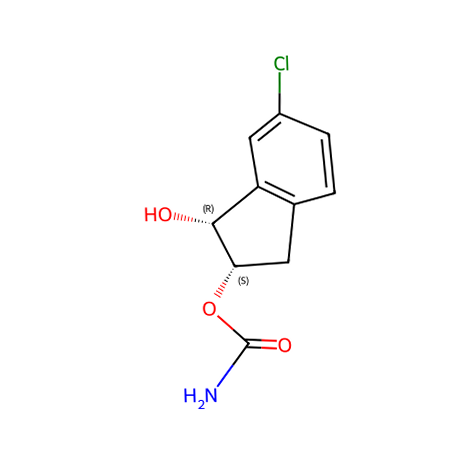 NC(=O)O[C@H]1Cc2ccc(Cl)cc2[C@H]1O